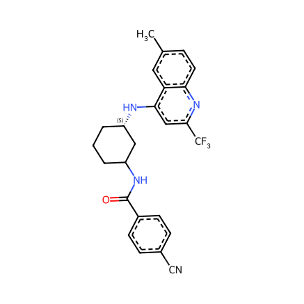 Cc1ccc2nc(C(F)(F)F)cc(N[C@H]3CCCC(NC(=O)c4ccc(C#N)cc4)C3)c2c1